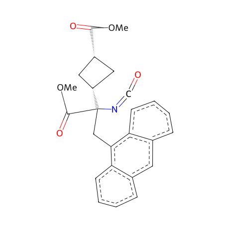 COC(=O)C(Cc1c2ccccc2cc2ccccc12)(N=C=O)[C@H]1C[C@@H](C(=O)OC)C1